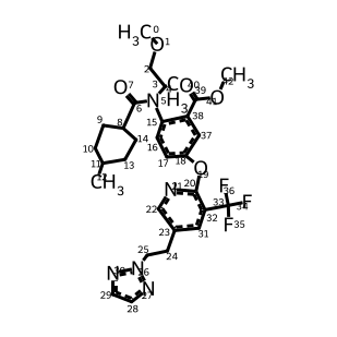 COC[C@H](C)N(C(=O)C1CCC(C)CC1)c1ccc(Oc2ncc(CCn3nccn3)cc2C(F)(F)F)cc1C(=O)OC